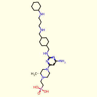 C[C@@H]1CN(c2cc(N)nc(NCC3CCC(CNCCCNC4CCCCC4)CC3)n2)CCN1CCP(=O)(O)O